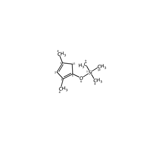 CC1=CC(C)=C(O[Si](C)(C)C)C1